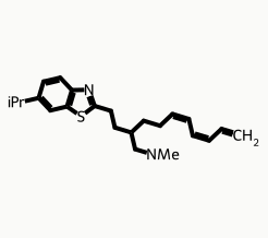 C=C/C=C\C=C/CCC(CCc1nc2ccc(C(C)C)cc2s1)CNC